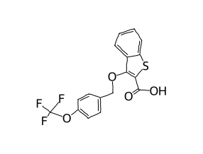 O=C(O)c1sc2ccccc2c1OCc1ccc(OC(F)(F)F)cc1